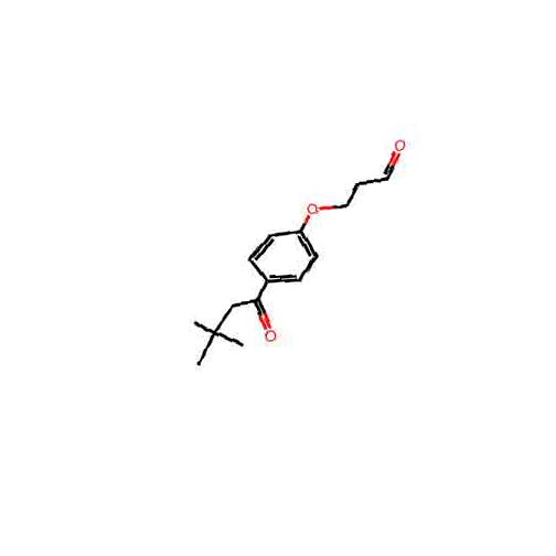 CC(C)(C)CC(=O)c1ccc(OCCC=O)cc1